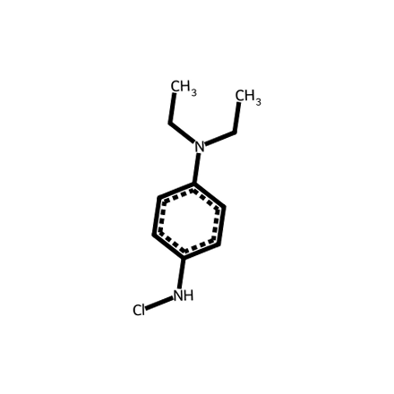 CCN(CC)c1ccc(NCl)cc1